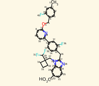 Cc1ccc(COc2cccc(-c3ccc(Cc4nc5ccc(C(=O)O)cc5n4CC4(C(F)F)CCC4)c(F)c3)n2)c(F)c1